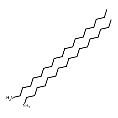 CCCCCCCCCCCCCCCCCCN.CCCCCCCCCCCCCCCCCN